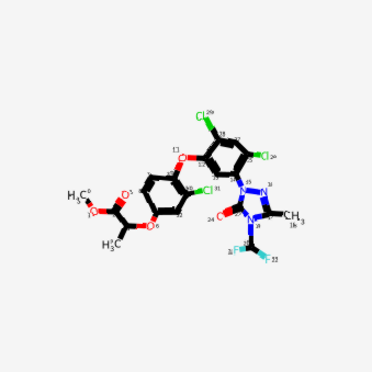 COC(=O)C(C)Oc1ccc(Oc2cc(-n3nc(C)n(C(F)F)c3=O)c(Cl)cc2Cl)c(Cl)c1